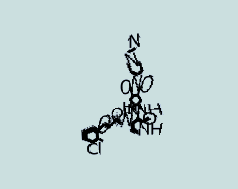 Cc1c(Cl)cccc1OC[C@H](O)CNc1cc[nH]c(=O)c1-c1nc2cc3c(cc2[nH]1)C(=O)N(C1CCN(CCN(C)C)CC1)C3=O